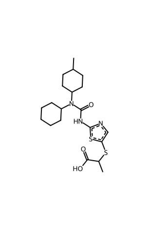 CC1CCC(N(C(=O)Nc2ncc(SC(C)C(=O)O)s2)C2CCCCC2)CC1